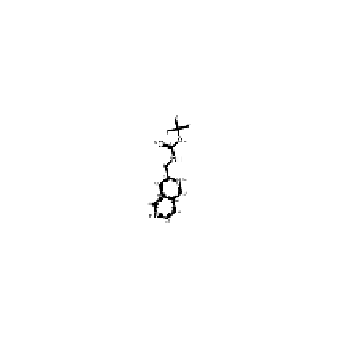 CC(C)(C)OC(=O)NCc1cc2cnccc2cn1